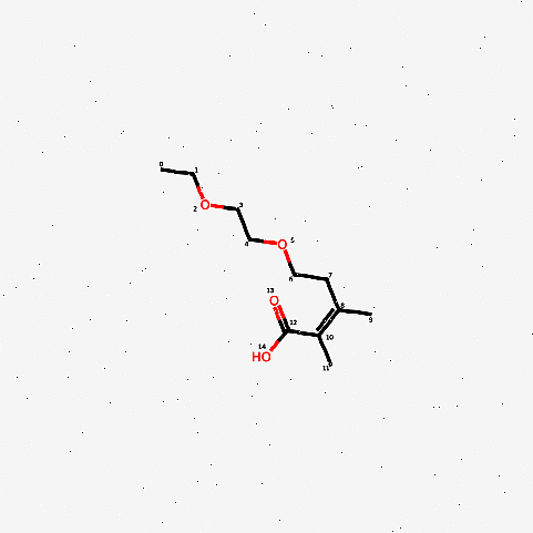 CCOCCOCCC(C)=C(C)C(=O)O